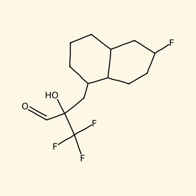 O=CC(O)(CC1CCCC2CC(F)CCC21)C(F)(F)F